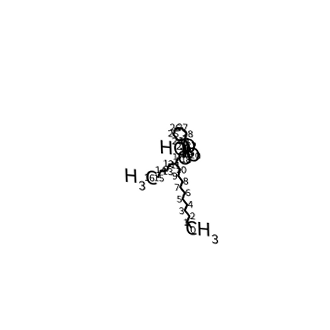 CCCCCCCCCCCC(CCCCC)COP(=O)(O)OC1CCCCC1